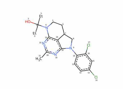 CCC(O)(CC)N1CCC2CN(c3ccc(Cl)cc3Cl)c3nc(C)nc1c32